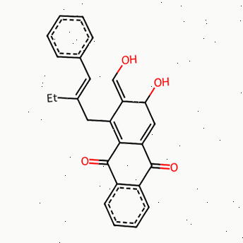 CCC(=Cc1ccccc1)CC1=C2C(=O)c3ccccc3C(=O)C2=CC(O)C1=CO